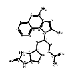 CCCCc1nc2c(N)nc3ccccc3c2n1C(CCC(N)=O)CC1SCC2NC(=O)NC21